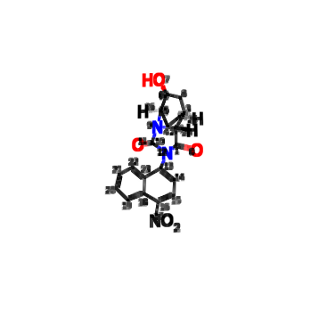 O=C1[C@H]2[C@H]3C[C@H]([C@@H](O)C3)N2C(=O)N1c1ccc([N+](=O)[O-])c2ccccc12